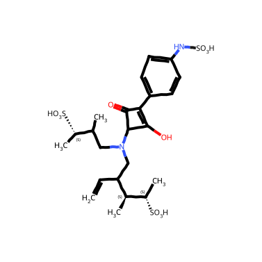 C=CC(CN(CC(C)[C@H](C)S(=O)(=O)O)C1C(=O)C(c2ccc(NS(=O)(=O)O)cc2)=C1O)[C@H](C)[C@H](C)S(=O)(=O)O